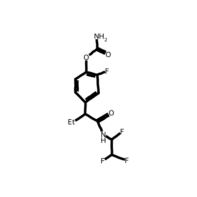 CCC(C(=O)NC(F)C(F)F)c1ccc(OC(N)=O)c(F)c1